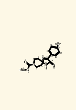 CC(C)(C)OC(=O)N1CCC2(CC1)N=C(c1ccc(Br)cc1)C(=S)N2